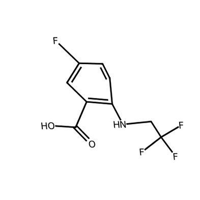 O=C(O)c1cc(F)ccc1NCC(F)(F)F